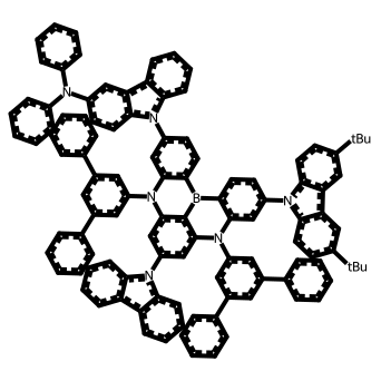 CC(C)(C)c1ccc2c(c1)c1cc(C(C)(C)C)ccc1n2-c1ccc2c(c1)N(c1cc(-c3ccccc3)cc(-c3ccccc3)c1)c1cc(-n3c4ccccc4c4ccccc43)cc3c1B2c1ccc(-n2c4ccccc4c4cc(N(c5ccccc5)c5ccccc5)ccc42)cc1N3c1cc(-c2ccccc2)cc(-c2ccccc2)c1